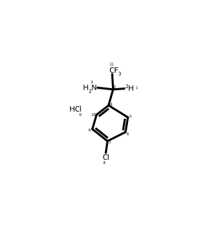 Cl.[2H]C(N)(c1ccc(Cl)cc1)C(F)(F)F